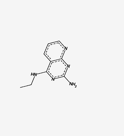 CCNc1nc(N)nc2ncccc12